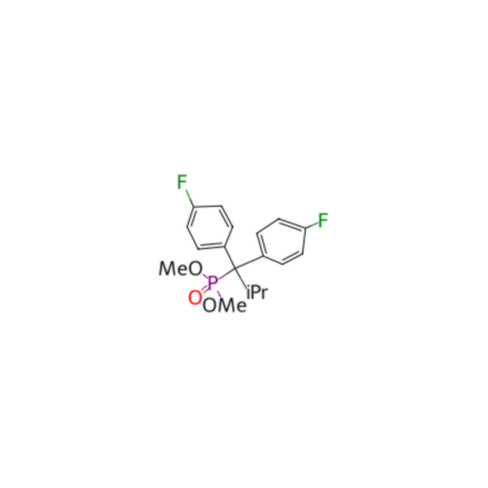 COP(=O)(OC)C(c1ccc(F)cc1)(c1ccc(F)cc1)C(C)C